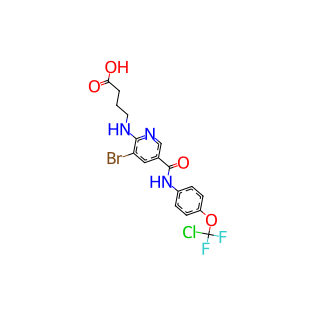 O=C(O)CCCNc1ncc(C(=O)Nc2ccc(OC(F)(F)Cl)cc2)cc1Br